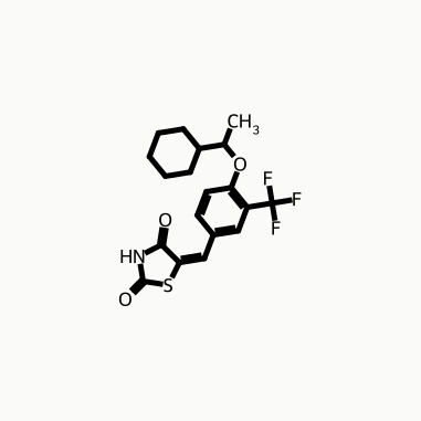 CC(Oc1ccc(C=C2SC(=O)NC2=O)cc1C(F)(F)F)C1CCCCC1